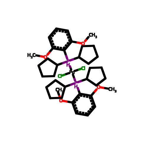 COc1cccc(OC)c1[PH](C1CCCC1)(C1CCCC1)[Pd]([Cl])([Cl])[PH](c1c(OC)cccc1OC)(C1CCCC1)C1CCCC1